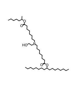 CCCCCCCCC(CCCCCCCC)OC(=O)CCCCCCCN(CCO)CCCCCCCC(=O)OC(C)CCCCC